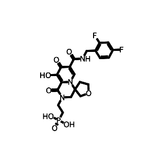 O=C(NCc1ccc(F)cc1F)c1cn2c(c(O)c1=O)C(=O)N(CCP(=O)(O)O)CC21CCOC1